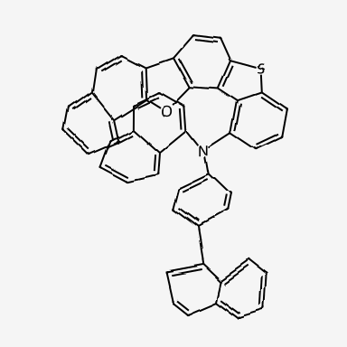 c1ccc2c(-c3ccc(N(c4cccc5ccccc45)c4cccc5sc6ccc7c8ccc9ccccc9c8oc7c6c45)cc3)cccc2c1